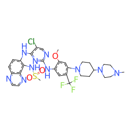 COc1cc(N2CCC(N3CCN(C)CC3)CC2)c(C(F)(F)F)cc1Nc1ncc(Cl)c(Nc2ccc3nccnc3c2NS(C)(=O)=O)n1